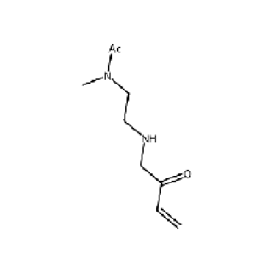 C=CC(=O)CNCCN(C)C(C)=O